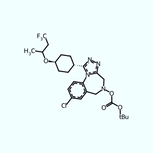 CC(CC(F)(F)F)O[C@H]1CC[C@H](c2nnc3n2-c2ccc(Cl)cc2CN(OC(=O)OC(C)(C)C)C3)CC1